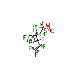 O=S(=O)(F)C(F)(F)CC(F)(C(F)(F)F)C(F)(F)C(F)=C(F)F